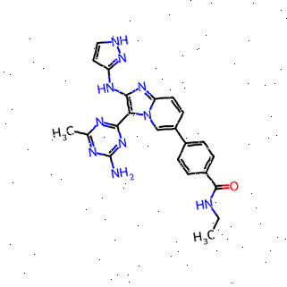 CCNC(=O)c1ccc(-c2ccc3nc(Nc4cc[nH]n4)c(-c4nc(C)nc(N)n4)n3c2)cc1